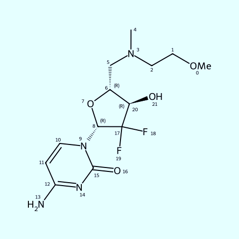 COCCN(C)C[C@H]1O[C@@H](n2ccc(N)nc2=O)C(F)(F)[C@@H]1O